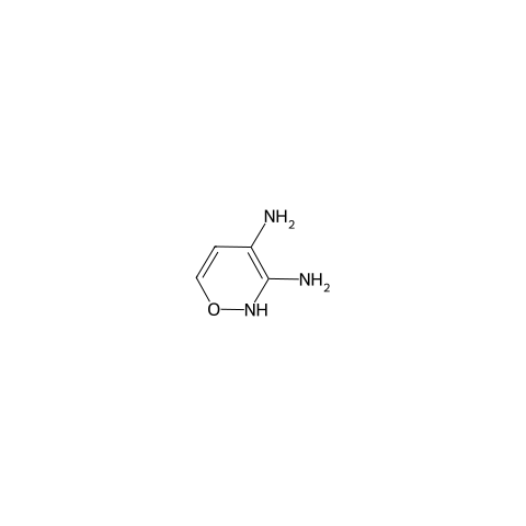 NC1=C(N)NOC=C1